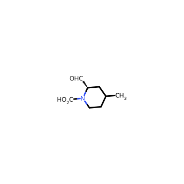 CC1CCN(C(=O)O)[C@@H](C=O)C1